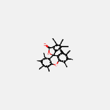 Cc1c(C)c(C)c2c(c1C)Oc1c(C)c(C)c(C)c(C)c1C21OC(=O)c2c(C)c(C)c(C)c(C)c21